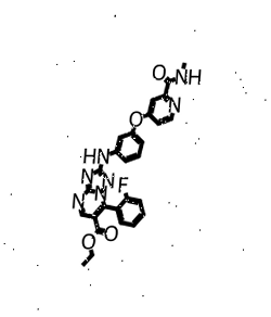 CCOC(=O)c1cnc2nc(Nc3cccc(Oc4ccnc(C(=O)NC)c4)c3)nn2c1-c1ccccc1F